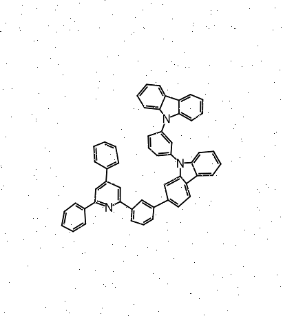 c1ccc(-c2cc(-c3ccccc3)nc(-c3cccc(-c4ccc5c6ccccc6n(-c6cccc(-n7c8ccccc8c8ccccc87)c6)c5c4)c3)c2)cc1